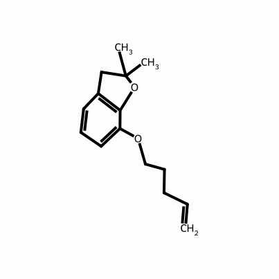 C=CCCCOc1cccc2c1OC(C)(C)C2